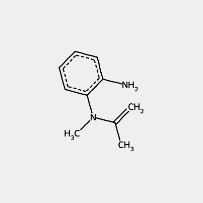 C=C(C)N(C)c1ccccc1N